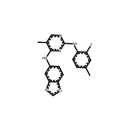 Cc1ccc(Nc2ncc(C)c(Nc3ccc4ocnc4c3)n2)c(F)c1